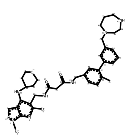 CCc1nc2c(cnn2CC)c(NC2CCOCC2)c1CNC(=O)CC(=O)NCc1ccc(C)c(-c2cccc(CN3CCCNCC3)c2)c1